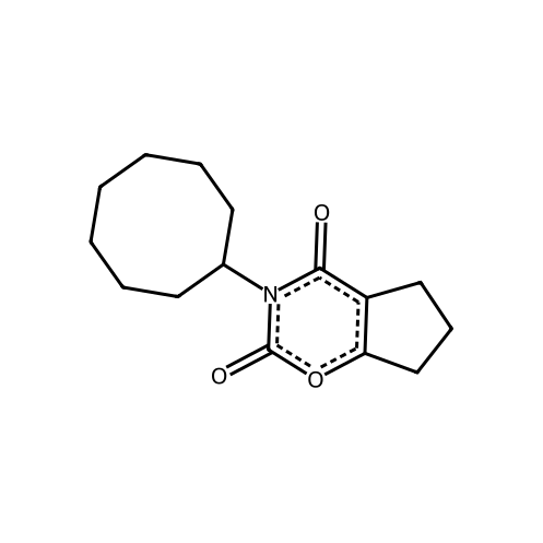 O=c1oc2c(c(=O)n1C1CCCCCCC1)CCC2